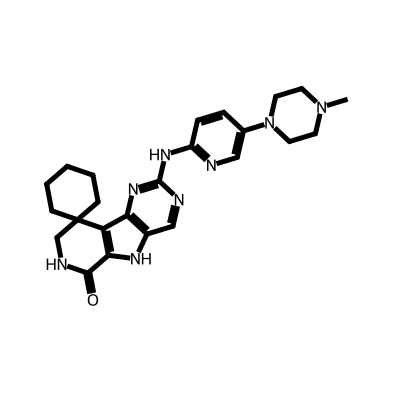 CN1CCN(c2ccc(Nc3ncc4[nH]c5c(c4n3)C3(CCCCC3)CNC5=O)nc2)CC1